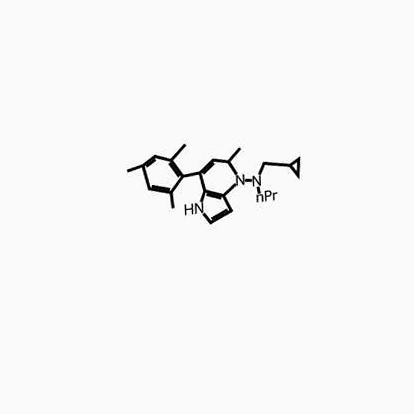 CCCN(CC1CC1)N1c2cc[nH]c2C(c2c(C)cc(C)cc2C)=CC1C